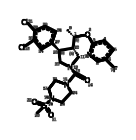 C[C@H](Oc1ccc(F)cn1)[C@@H]1CN(C(=O)N2CCN(S(C)(=O)=O)CC2)C[C@H]1c1ccc(Cl)c(Cl)c1